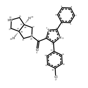 O=C(c1sc(-c2ccccc2)nc1-c1ccc(Cl)cc1)N1C[C@H]2CNC[C@H]2C1